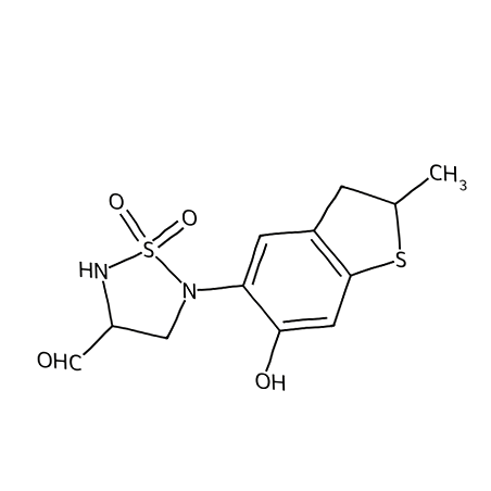 CC1Cc2cc(N3CC(C=O)NS3(=O)=O)c(O)cc2S1